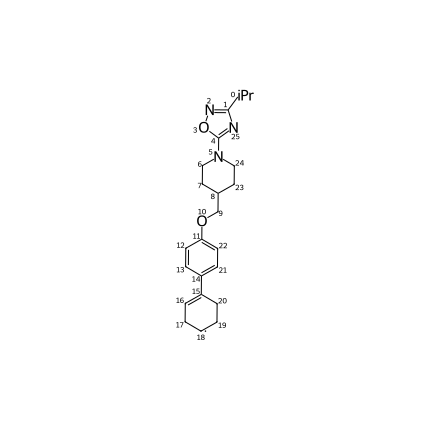 CC(C)c1noc(N2CCC(COc3ccc(C4=CC[CH]CC4)cc3)CC2)n1